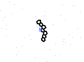 c1ccc2cc3c(ccc4c3cnc3c5cc6ccccc6cc5ccc43)cc2c1